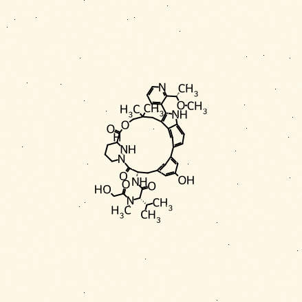 CO[C@@H](C)c1ncccc1-c1[nH]c2ccc3cc2c1CC(C)(C)COC(=O)[C@@H]1CCCN(N1)C(=O)[C@@H](NC(=O)[C@H](C(C)C)N(C)C(=O)CO)Cc1cc(O)cc-3c1